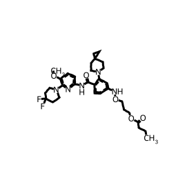 CCCC(=O)OCCCONc1ccc(C(=O)Nc2ccc(OC)c(N3CCC(F)(F)CC3)n2)c(N2CCC3(CC2)CC3)c1